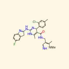 CN/C(C)=C(\C=N)CNC(=O)C1=C(C)NC(NC2=Nc3ccc(F)cc3C2)=NC1c1ccc(C)cc1Cl